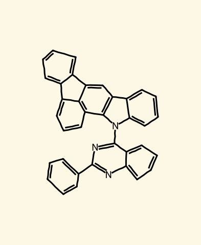 c1ccc(-c2nc(-n3c4ccccc4c4cc5c6c(cccc6c43)-c3ccccc3-5)c3ccccc3n2)cc1